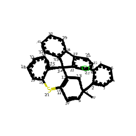 CC1(c2ccccc2Cl)C=CC2=C(C1)C1(c3ccccc3S2)c2ccccc2-c2ccccc21